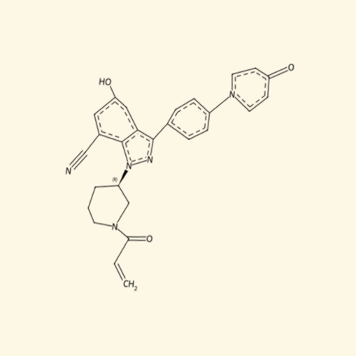 C=CC(=O)N1CCC[C@@H](n2nc(-c3ccc(-n4ccc(=O)cc4)cc3)c3cc(O)cc(C#N)c32)C1